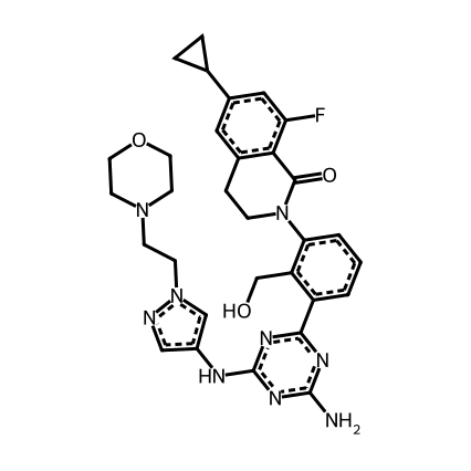 Nc1nc(Nc2cnn(CCN3CCOCC3)c2)nc(-c2cccc(N3CCc4cc(C5CC5)cc(F)c4C3=O)c2CO)n1